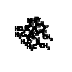 CC(C)=C[C@@H]1C(C)(C)[C@@]1(C(=O)O)[C@]1(C(N)=O)C[C@H](C)CC[C@H]1C(C)C